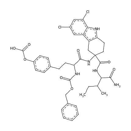 CCC(C)C(NC(=O)C1(NC(=O)C(CCc2ccc(OC(=O)O)cc2)NC(=O)OCc2ccccc2)CCc2[nH]c3c(Cl)cc(Cl)cc3c2C1)C(N)=O